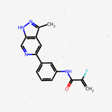 C=C(F)C(=O)Nc1cccc(-c2cc3c(C)n[nH]c3cn2)c1